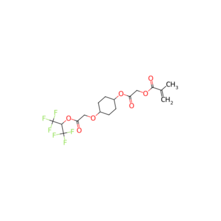 C=C(C)C(=O)OCC(=O)OC1CCC(OCC(=O)OC(C(F)(F)F)C(F)(F)F)CC1